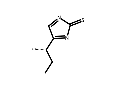 CC[C@H](C)C1=NC(=S)N=C1